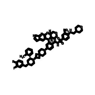 Cc1ccccc1[C@H]1CN(Cc2ccc(F)c(F)c2)CCN1C1CC2(CCN(c3ccc(C(=O)NS(=O)(=O)c4ccc(NCC5CCOCC5)c([N+](=O)[O-])c4)c(N4c5cc6cc[nH]c6nc5O[C@H]5COCC[C@@H]54)c3)CC2)C1